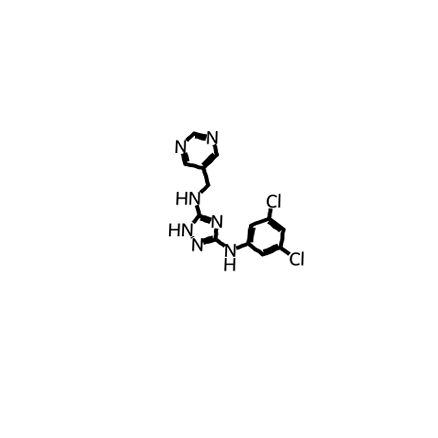 Clc1cc(Cl)cc(Nc2n[nH]c(NCc3cncnc3)n2)c1